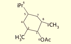 CC(=O)OC1C(C)CC(C(C)C)CC1C